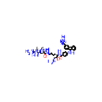 CN[C@@H](CCCNC(=N)N)C(=O)NCCCC[C@H](NC(=O)c1ccc(NC2c3ccccc3-c3cc(-c4nn[nH]n4)ccc32)cc1)C(=O)CN